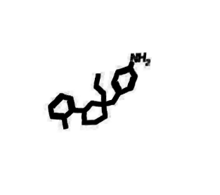 CCCC1(Cc2ccc(N)cc2)CCCC(c2ccccc2C)C1